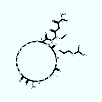 CC[C@H](C)C1NCN[C@@H](C)C(=O)CN[C@@H](CCCNC(N)N)C(=O)N[C@](C)(C(=O)N[C@@H](CC(C)C)C(=O)CC(=O)[C@H](C)NC)CCCCCCCCCC(=O)C1=O